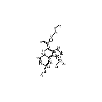 C=C(OCCCC)c1cc2cnc(SC)nc2c2c1cnn2C(C)C